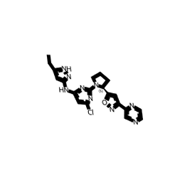 CCc1cc(Nc2cc(Cl)nc(N3CCC[C@H]3c3cc(-c4cnccn4)no3)n2)n[nH]1